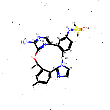 Cc1ccc2c(c1)[C@@H](C)Oc1nc(cnc1N)-c1cc(N=S(C)(C)=O)ccc1Cn1ccnc1-2